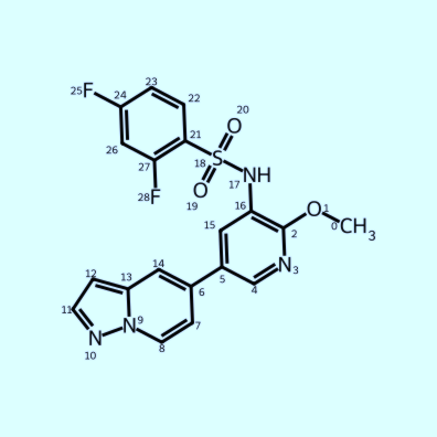 COc1ncc(-c2ccn3nccc3c2)cc1NS(=O)(=O)c1ccc(F)cc1F